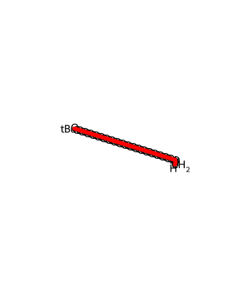 C=C=NOC(=O)CNCCOCCOCCOCCOCCOCCOCCOCCOCCOCCOCCOCCOCCOCCOCCOCCOCCOCCOCCOCCOCCOCCOCCOCCOCCOCCOCCOCCOCCOCCOCCOCCOCCOCCOCCOCCOCCC(=O)C(C)(C)C